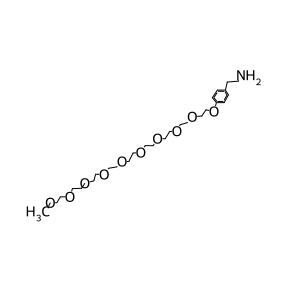 COCCOCCOCCOCCOCCOCCOCCOCCOCCOc1ccc(CCN)cc1